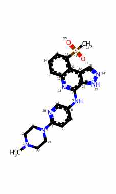 CN1CCN(c2ccc(Nc3nc4cccc(S(C)(=O)=O)c4c4cn[nH]c34)cn2)CC1